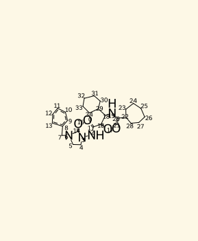 O=C(NN1CCN(Cc2ccccc2)C1=O)C(=O)C(NC(=O)C1CCCCCC1)C1CCCCC1